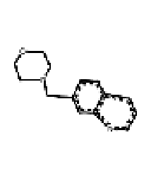 [c]1ccnc2cc(CN3CCOCC3)ccc12